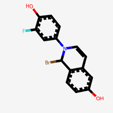 Oc1ccc2c(c1)C=CN(c1ccc(O)c(F)c1)C2Br